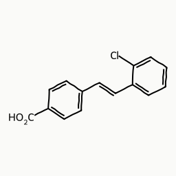 O=C(O)c1ccc(C=Cc2ccccc2Cl)cc1